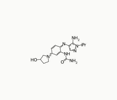 CC(C)n1ncc(/N=C2C=C/C(=[N+]3/CCC(O)C3)C=C/2NC(N)=O)c1N